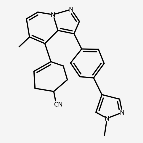 Cc1ccn2ncc(-c3ccc(-c4cnn(C)c4)cc3)c2c1C1=CCC(C#N)CC1